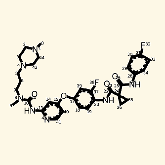 CN1CCN(CCCN(C)C(=O)Nc2cc(Oc3ccc(NC(=O)C4(C(=O)Nc5ccc(F)cc5)CC4)c(F)c3)ccn2)CC1